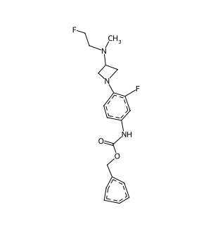 CN(CCF)C1CN(c2ccc(NC(=O)OCc3ccccc3)cc2F)C1